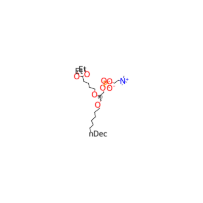 CCCCCCCCCCCCCCCCOC[C@H](COP(=O)([O-])OCC[N+](C)(C)C)OCCCCC(OCC)OCC